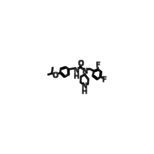 CC(C)Oc1ccc(CNC(=O)N(Cc2ccc(F)cc2F)C2CCNCC2)cc1